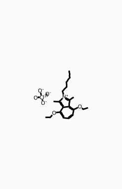 CCCCC[n+]1c(C)c2c(OCC)cccc(OCC)c-2c1C.[O-][Cl+3]([O-])([O-])[O-]